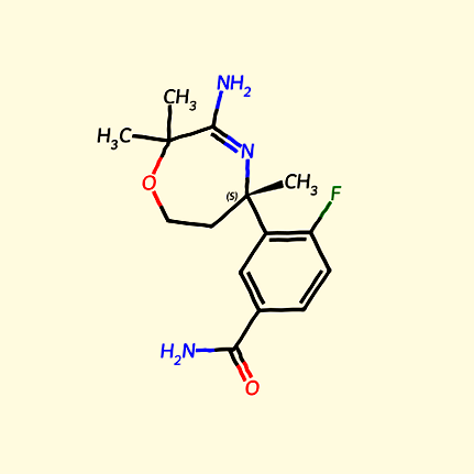 CC1(C)OCC[C@@](C)(c2cc(C(N)=O)ccc2F)N=C1N